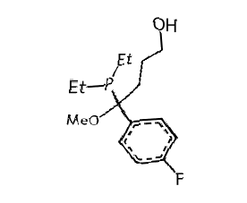 CCP(CC)C(CCCO)(OC)c1ccc(F)cc1